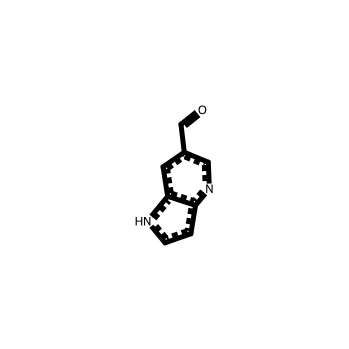 O=Cc1cnc2cc[nH]c2c1